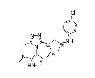 C=Nc1[nH]ccc1-n1c(C)nnc1[C@H]1C[C@@H](Nc2ccc(Cl)cc2)C[C@H]1C